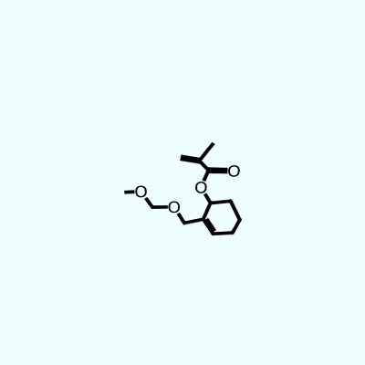 C=C(C)C(=O)OC1CCCC=C1COCOC